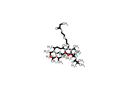 CCC(=O)SCCOCCSP(N(C(C)C)C(C)C)N(C(C)C)C(C)CCC(C)N(C(C)C)P(SCCOCC(C)(C)SC(=O)C(C)(C)C)N(C(C)C)C(C)C